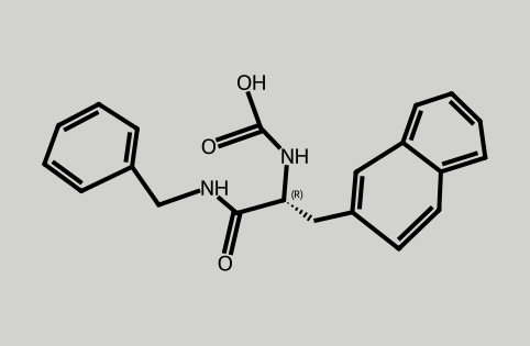 O=C(O)N[C@H](Cc1ccc2ccccc2c1)C(=O)NCc1ccccc1